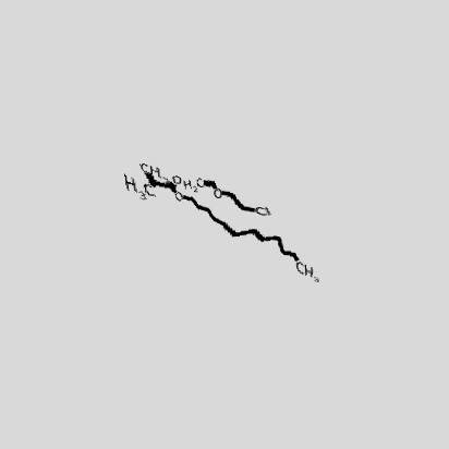 C=C(C)C(=O)OCCCCCCCCCCCC.C=COCCCl